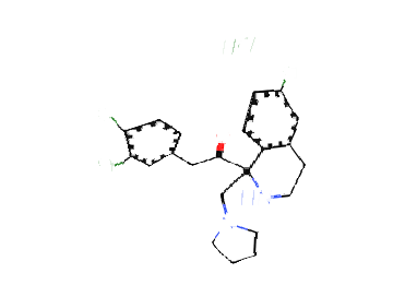 Cl.O=C(Cc1ccc(Cl)c(Cl)c1)C1(CN2CCCC2)NCCc2cc(Cl)ccc21